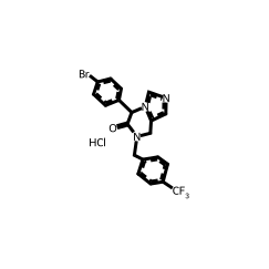 Cl.O=C1C(c2ccc(Br)cc2)n2cncc2CN1Cc1ccc(C(F)(F)F)cc1